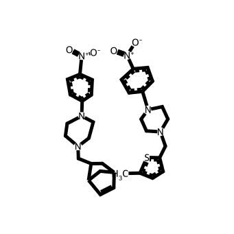 Cc1ccc(CN2CCN(c3ccc([N+](=O)[O-])cc3)CC2)s1.O=[N+]([O-])c1ccc(N2CCN(CC3CC4C=CC3C4)CC2)cc1